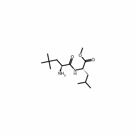 COC(=O)[C@H](CC(C)C)NC(=O)[C@@H](N)CC(C)(C)C